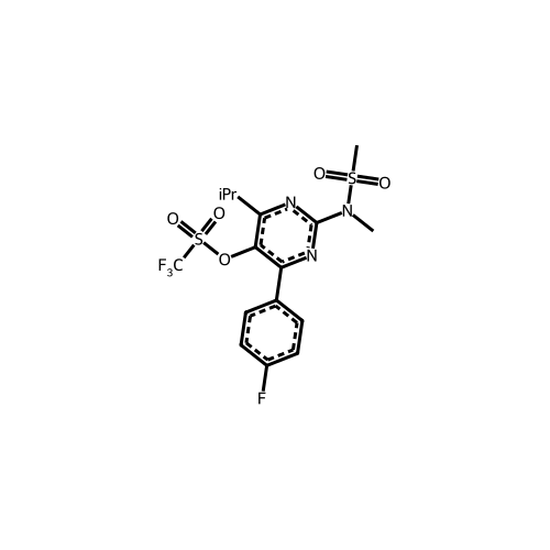 CC(C)c1nc(N(C)S(C)(=O)=O)nc(-c2ccc(F)cc2)c1OS(=O)(=O)C(F)(F)F